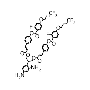 Nc1ccc(C(COC(=O)C=Cc2ccc(OC(=O)c3ccc(OCCCC(F)(F)F)cc3F)cc2)COC(=O)C=Cc2ccc(OC(=O)c3ccc(OCCCC(F)(F)F)cc3F)cc2)c(N)c1